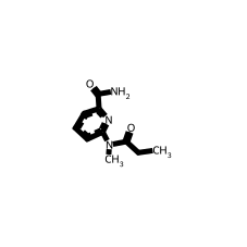 CCC(=O)N(C)c1cc[c]c(C(N)=O)n1